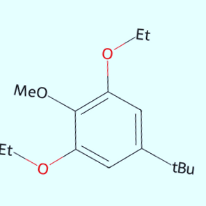 CCOc1cc(C(C)(C)C)cc(OCC)c1OC